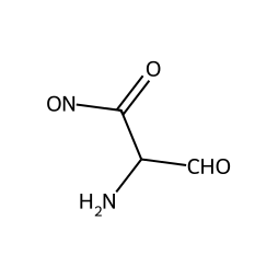 NC(C=O)C(=O)N=O